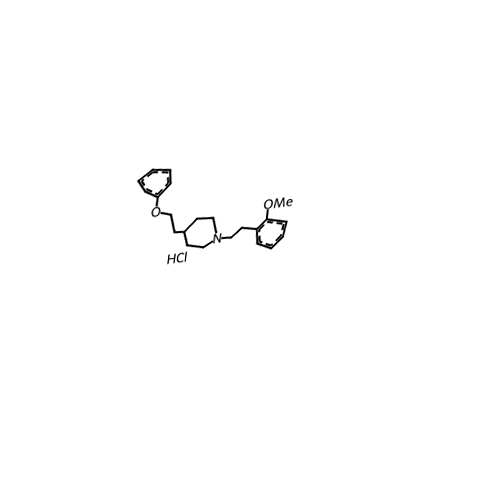 COc1ccccc1CCN1CCC(CCOc2ccccc2)CC1.Cl